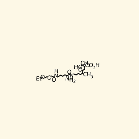 CCOCCOCC(=O)NCCCC[C@H](N)C(=O)NCCCC[C@H](C)C(=O)C[C@H](C(=O)O)[C@@H](C)O